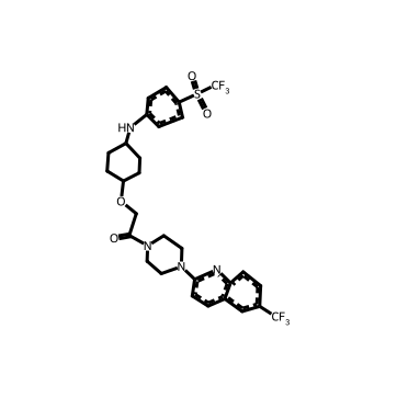 O=C(COC1CCC(Nc2ccc(S(=O)(=O)C(F)(F)F)cc2)CC1)N1CCN(c2ccc3cc(C(F)(F)F)ccc3n2)CC1